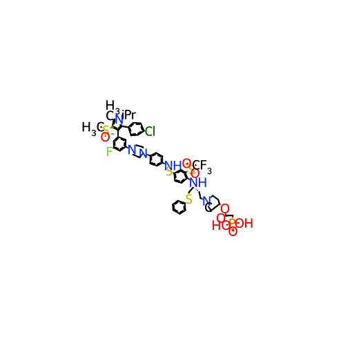 Cc1c([S+](C)[O-])c(-c2cc(F)cc(N3CCN(c4ccc(NSc5ccc(N[C@H](CCN6CCC(OC(=O)CP(=O)(O)O)CC6)CSc6ccccc6)c(S(=O)(=O)C(F)(F)F)c5)cc4)CC3)c2)c(-c2ccc(Cl)cc2)n1C(C)C